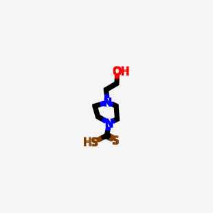 OCCN1CCN(C(=S)S)CC1